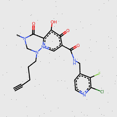 C#CCCCN1CN(C)C(=O)c2c(O)c(=O)c(C(=O)NCc3ccnc(Cl)c3F)cn21